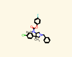 CN(C(=O)Oc1ccc(F)cc1)C1CN(Cc2ccccc2)CC1(C)c1ccc(Cl)cc1